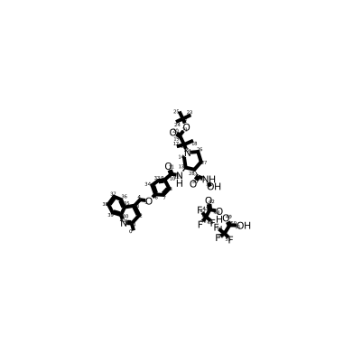 Cc1cc(COc2ccc(C(=O)N[C@@H]3CN(C(C)(C)C(=O)OC(C)(C)C)CC[C@@H]3C(=O)NO)cc2)c2ccccc2n1.O=C(O)C(F)(F)F.O=C(O)C(F)(F)F